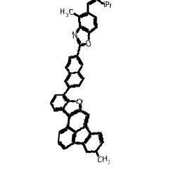 Cc1c(/C=C\C(C)C)ccc2oc(-c3ccc4cc(-c5cccc6c5oc5cc7c8c(cccc8c56)C5=C7C=CC(C)C5)ccc4c3)nc12